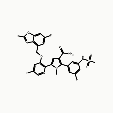 Cc1nc2c(COc3cc(F)cnc3-c3cc(C(N)=O)c(-c4cc(Cl)cc(NS(C)(=O)=O)c4)n3C)cc(F)cc2o1